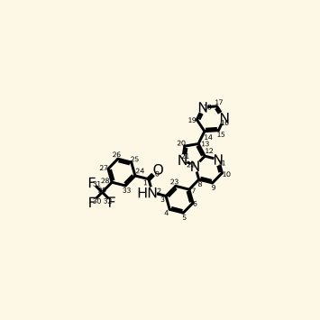 O=C(Nc1cccc(-c2ccnc3c(-c4cncnc4)cnn23)c1)c1cccc(C(F)(F)F)c1